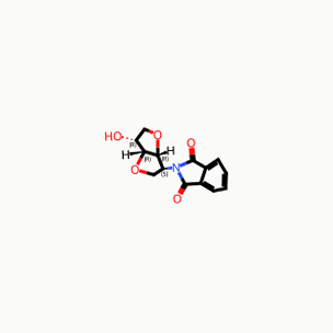 O=C1c2ccccc2C(=O)N1[C@H]1CO[C@H]2[C@@H]1OC[C@H]2O